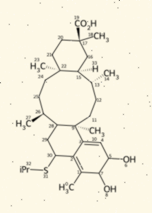 CC1=C2C(=CC(O)C1O)[C@]1(C)CC[C@@H](C)[C@@H]3C[C@](C)(C(=O)O)CC[C@]3(C)CC[C@H](C)C1CC2SC(C)C